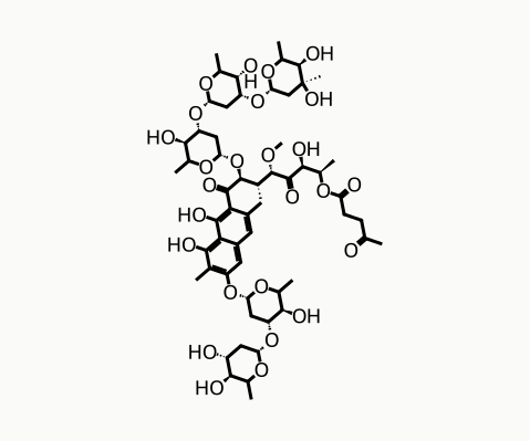 CO[C@H](C(=O)[C@@H](O)[C@@H](C)OC(=O)CCC(C)=O)[C@@H]1Cc2cc3cc(O[C@H]4C[C@@H](O[C@H]5C[C@@H](O)[C@H](O)C(C)O5)[C@H](O)C(C)O4)c(C)c(O)c3c(O)c2C(=O)[C@H]1O[C@H]1C[C@@H](O[C@H]2C[C@@H](O[C@H]3C[C@](C)(O)[C@H](O)C(C)O3)[C@@H](O)C(C)O2)[C@H](O)C(C)O1